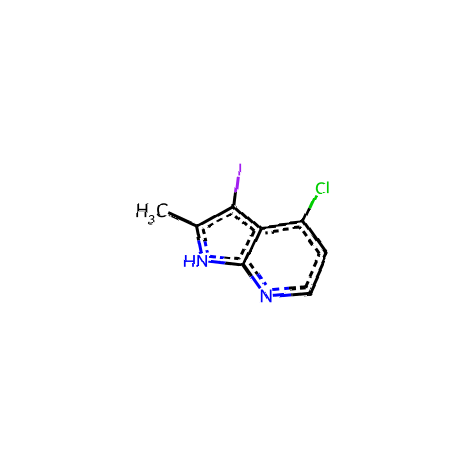 Cc1[nH]c2nccc(Cl)c2c1I